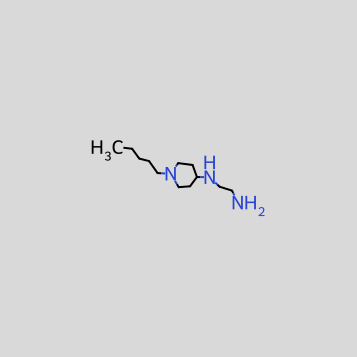 CCCCCN1CCC(NCCN)CC1